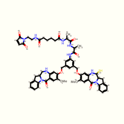 COc1cc2c(cc1OCc1cc(COc3cc4c(cc3OC)C(=O)N3c5ccccc5CC3C(S)N4)cc(NC(=O)C(C)NC(=O)C(C)NC(=O)CCCCC(=O)NCCN3C(=O)C=CC3=O)c1)NCC1Cc3ccccc3N1C2=O